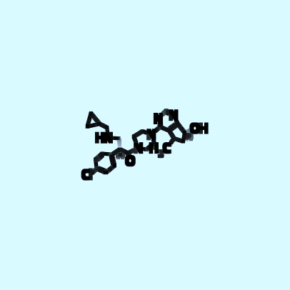 CC1C[C@@H](O)c2ncnc(N3CCN(C(=O)[C@@H](CNCC4CC4)c4ccc(Cl)cc4)CC3)c21